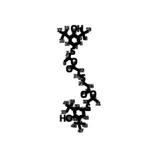 CC(CSc1cc(C(C)(C)C)c(O)c(C(C)(C)C)c1)OC(=O)CCSCCC(=O)OC(C)CSc1cc(C(C)(C)C)c(O)c(C(C)(C)C)c1